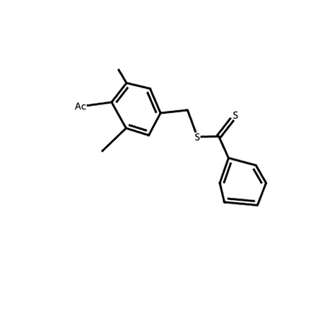 CC(=O)c1c(C)cc(CSC(=S)c2ccccc2)cc1C